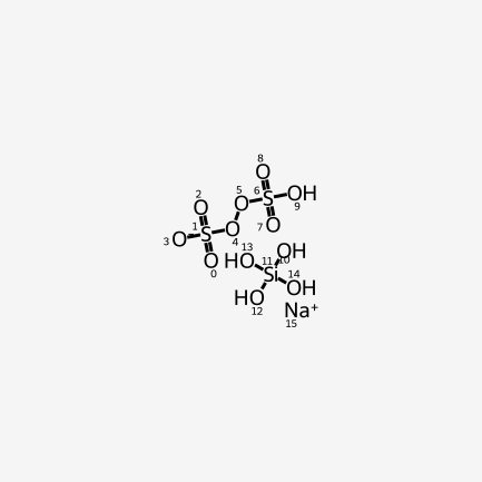 O=S(=O)([O-])OOS(=O)(=O)O.O[Si](O)(O)O.[Na+]